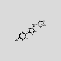 Clc1ccc(-c2cc(N[C@@H]3CCNC3)cs2)cc1